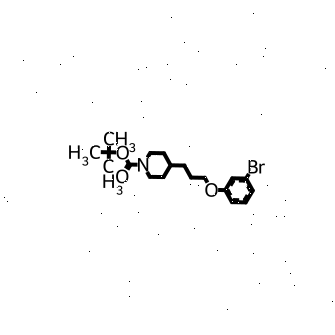 CC(C)(C)OC(=O)N1CCC(CCCOc2cccc(Br)c2)CC1